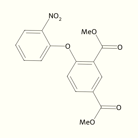 COC(=O)c1ccc(Oc2ccccc2[N+](=O)[O-])c(C(=O)OC)c1